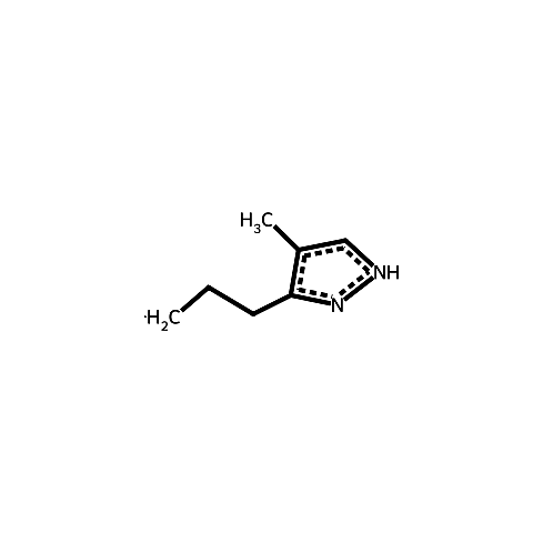 [CH2]CCc1n[nH]cc1C